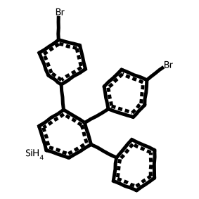 Brc1ccc(-c2cccc(-c3ccccc3)c2-c2ccc(Br)cc2)cc1.[SiH4]